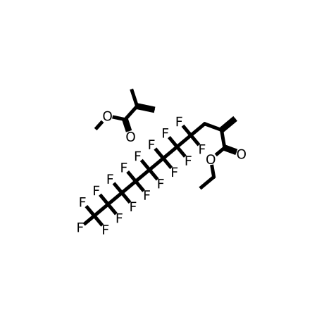 C=C(C)C(=O)OC.C=C(CC(F)(F)C(F)(F)C(F)(F)C(F)(F)C(F)(F)C(F)(F)C(F)(F)C(F)(F)F)C(=O)OCC